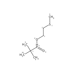 CSCCO[PH](=O)C(C)(C)C